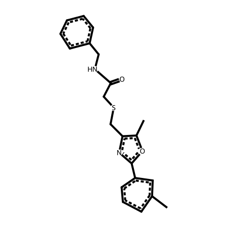 Cc1cccc(-c2nc(CSCC(=O)NCc3ccccc3)c(C)o2)c1